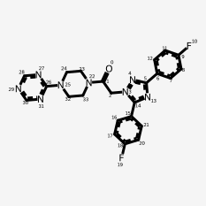 O=C(Cn1nc(-c2ccc(F)cc2)nc1-c1ccc(F)cc1)N1CCN(c2ncncn2)CC1